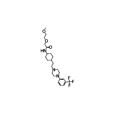 COCCOCC(=O)NC1CCC(CCN2CCN(c3cccc(C(F)(F)F)c3)CC2)CC1